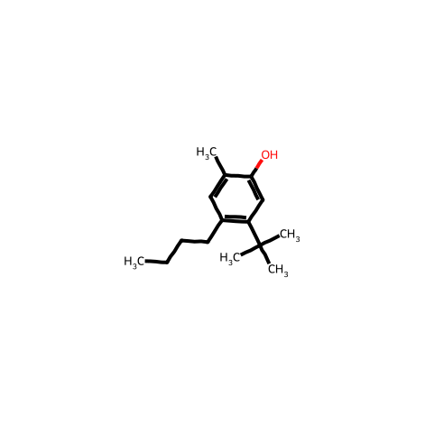 CCCCc1cc(C)c(O)cc1C(C)(C)C